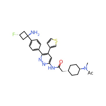 CC(=O)N(C)[C@H]1CC[C@H](CC(=O)Nc2cc(-c3ccsc3)c(-c3ccc([C@]4(N)C[C@H](F)C4)cc3)nn2)CC1